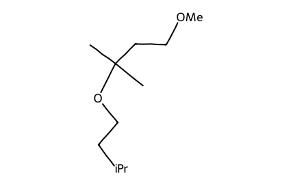 COCCC(C)(C)OCCC(C)C